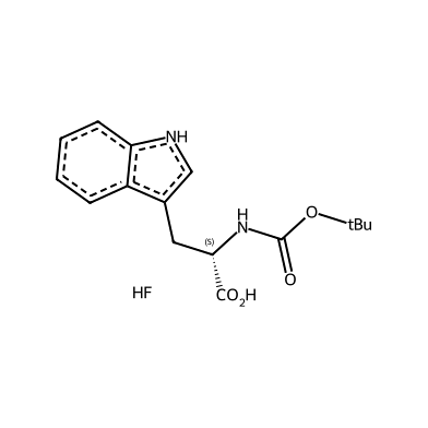 CC(C)(C)OC(=O)N[C@@H](Cc1c[nH]c2ccccc12)C(=O)O.F